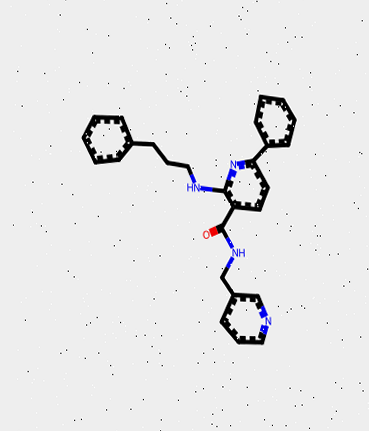 O=C(NCc1cccnc1)c1ccc(-c2ccccc2)nc1NCCCc1ccccc1